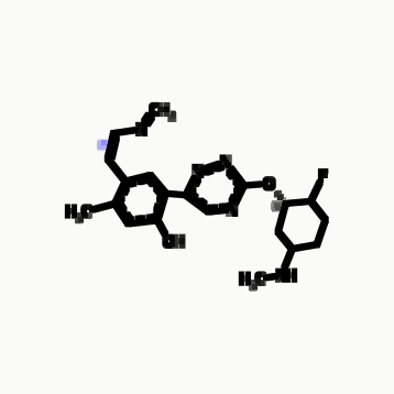 C=N/C=C\c1cc(-c2cnc(O[C@H]3CC(NC)CCC3F)nn2)c(O)cc1C